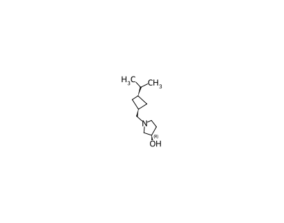 CC(C)[C@H]1C[C@@H](CN2CC[C@@H](O)C2)C1